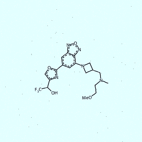 COCCN(C)CC1CN(c2cc(-c3nc(C(O)C(F)(F)F)co3)cc3nonc23)C1